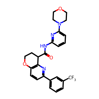 O=C(Nc1cccc(N2CCOCC2)n1)C1CCOc2ccc(-c3cccc(C(F)(F)F)c3)nc21